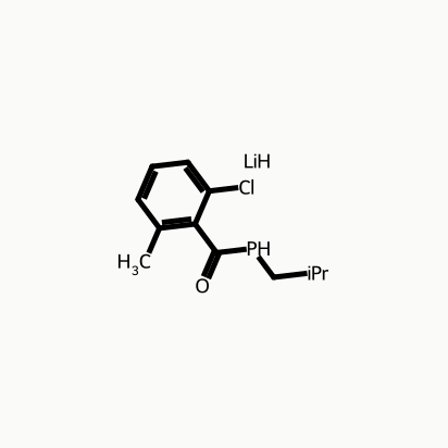 Cc1cccc(Cl)c1C(=O)PCC(C)C.[LiH]